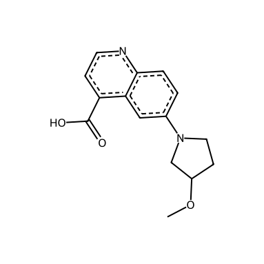 COC1CCN(c2ccc3nccc(C(=O)O)c3c2)C1